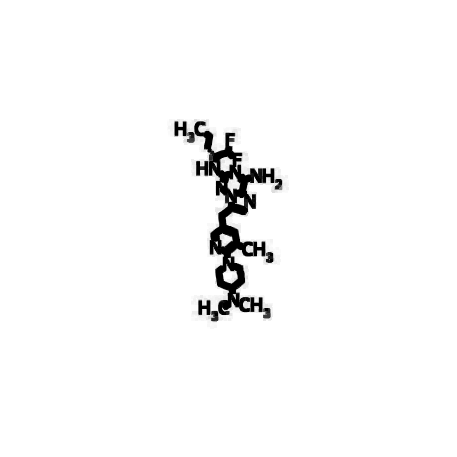 CCC[C@@H](Nc1nc(N)c2ncc(Cc3cnc(N4CCC(N(C)C)CC4)c(C)c3)n2n1)C(F)F